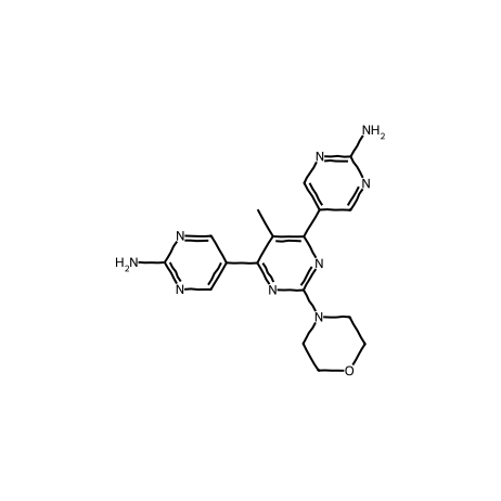 Cc1c(-c2cnc(N)nc2)nc(N2CCOCC2)nc1-c1cnc(N)nc1